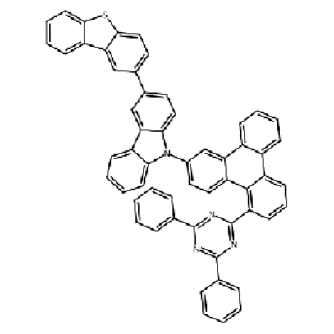 c1ccc(-c2nc(-c3ccccc3)nc(-c3cccc4c5ccccc5c5cc(-n6c7ccccc7c7cc(-c8ccc9sc%10ccccc%10c9c8)ccc76)ccc5c34)n2)cc1